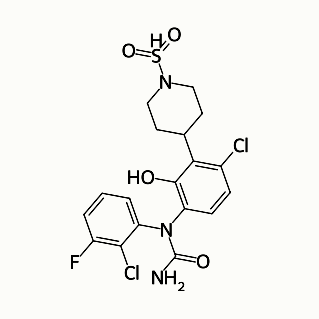 NC(=O)N(c1ccc(Cl)c(C2CCN([SH](=O)=O)CC2)c1O)c1cccc(F)c1Cl